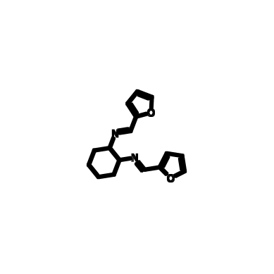 C(=NC1CCCCC1N=Cc1ccco1)c1ccco1